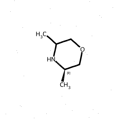 CC1COC[C@@H](C)N1